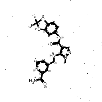 Cn1ncc(C(=O)Nc2ccc3c(c2)OC(F)(F)O3)c1NCc1ccnc(C(N)=O)c1